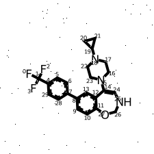 FC(F)(F)c1ccc(-c2ccc3c(c2)C(N2CCN(C4CC4)CC2)=CNCO3)cc1